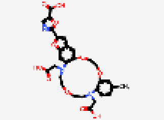 Cc1ccc2c(c1)OCCOc1cc3cc(-c4ncc(C(=O)O)o4)oc3cc1N(CC(=O)O)CCOCCN2CC(=O)O